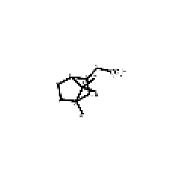 CC12CCC(C(CC(=O)O)C1)C2(C)C